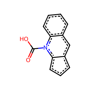 O=C(O)n1c2cccc-2cc2ccccc21